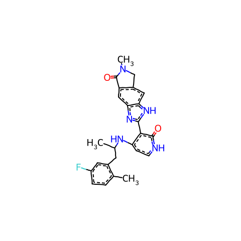 Cc1ccc(F)cc1CC(C)Nc1cc[nH]c(=O)c1-c1nc2cc3c(cc2[nH]1)CN(C)C3=O